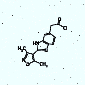 Cc1noc(C)c1-c1nc2ccc(CC(=O)Cl)cc2[nH]1